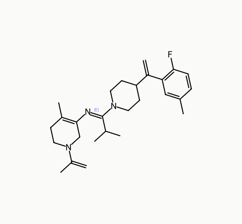 C=C(c1cc(C)ccc1F)C1CCN(/C(=N/C2=C(C)CCN(C(=C)C)C2)C(C)C)CC1